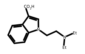 CCN(CC)CCn1cc(C(=O)O)c2ccccc21